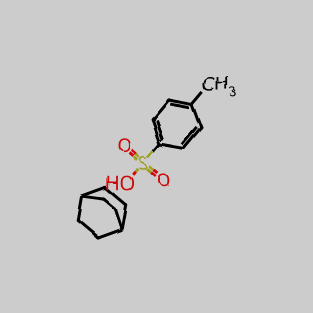 C1CC2CCC1CC2.Cc1ccc(S(=O)(=O)O)cc1